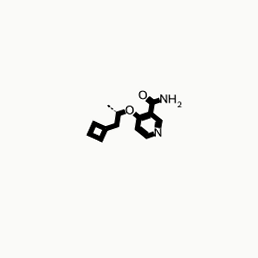 C[C@@H](CC1CCC1)Oc1ccncc1C(N)=O